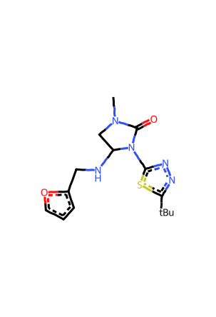 CN1CC(NCc2ccco2)N(c2nnc(C(C)(C)C)s2)C1=O